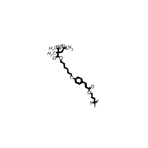 CC(C)CC(C)(C(=O)OCCCCCCOc1ccc(/C=C/C(=O)OCCCC(F)(F)F)cc1)C(C)C